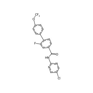 O=C(Nc1ncc(Cl)cn1)c1ccc(-c2ccc(OC(F)(F)F)cc2)c(F)c1